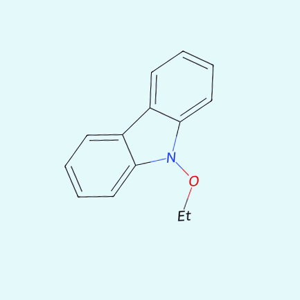 CCOn1c2ccccc2c2ccccc21